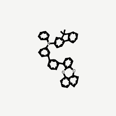 CC1(C)c2ccccc2-c2ccc(N(c3ccccc3)c3cccc(-c4cccc(-c5cccc6c5Oc5cccc7cccc(c57)O6)c4)c3)cc21